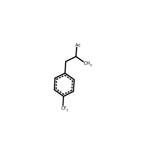 CC(=O)C(C)Cc1ccc(C(F)(F)F)cc1